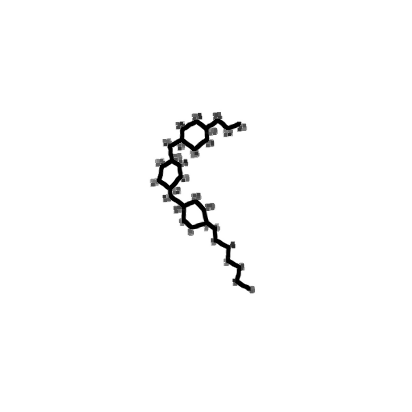 CCCCCCCC1CCC(CC2CCC(CC3CCC(CCC)CC3)CC2)CC1